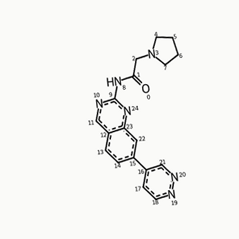 O=C(CN1CCCC1)Nc1ncc2ccc(-c3ccnnc3)cc2n1